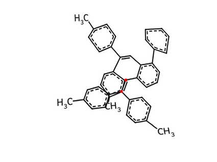 Cc1ccc(C(=Cc2cccc(-c3ccccc3)c2C=C(c2ccc(C)cc2)c2ccc(C)cc2)c2ccc(C)cc2)cc1